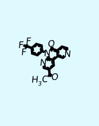 CC(=O)c1cnc2c(c1)c1cnccc1c(=O)n2-c1ccc(C(F)(F)F)cc1